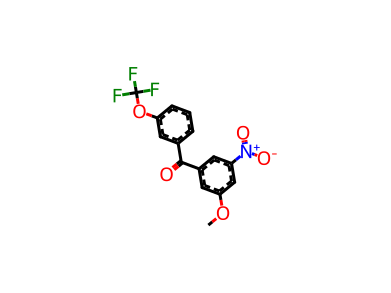 COc1cc(C(=O)c2cccc(OC(F)(F)F)c2)cc([N+](=O)[O-])c1